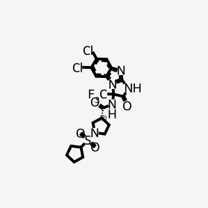 O=C(NC1(C(F)(F)F)C(=O)Nc2nc3cc(Cl)c(Cl)cc3n21)[C@@H]1CCN(S(=O)(=O)C2CCCC2)C1